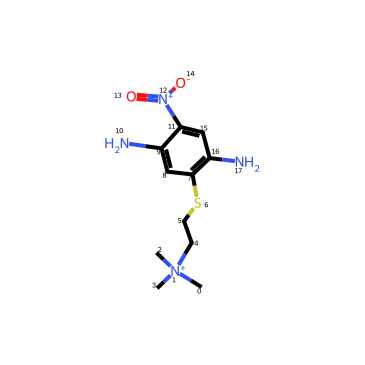 C[N+](C)(C)CCSc1cc(N)c([N+](=O)[O-])cc1N